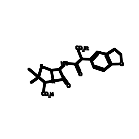 CCOC(=O)C(C(=O)NC1C(=O)N2C1SC(C)(C)C2C(=O)O)c1ccc2c(c1)CCO2